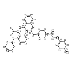 CC(C)Oc1c(CN2CCOCC2)cccc1-n1c(CN2CCN(C(=O)COc3ccc(Cl)cc3)CC2)nc2ccccc2c1=O